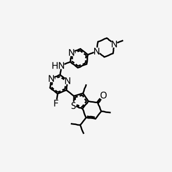 Cc1c(-c2nc(Nc3ccc(N4CCN(C)CC4)cn3)ncc2F)sc2c1C(=O)C(C)C=C2C(C)C